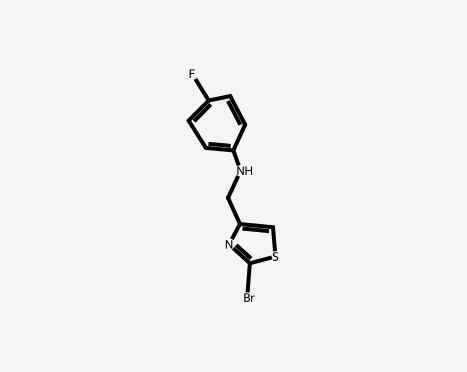 Fc1ccc(NCc2csc(Br)n2)cc1